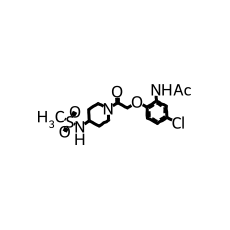 CC(=O)Nc1cc(Cl)ccc1OCC(=O)N1CCC(NS(C)(=O)=O)CC1